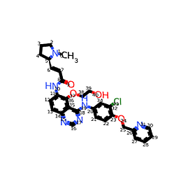 CN1CCC[C@@H]1/C=C/C(=O)Nc1ccc2ncnc(Nc3ccc(OCc4ccccn4)c(Cl)c3)c2c1OCCO